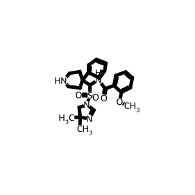 COc1ccccc1C(=O)NC(C1(c2ccccc2)CCNCC1)S(=O)(=O)N1C=NC(C)(C)C1